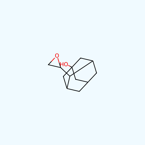 OC12CC3CC(C1)C(C1CO1)C(C3)C2